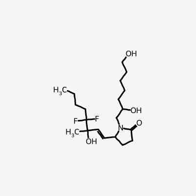 CCCCC(F)(F)C(C)(O)C=CC1CCC(=O)N1CC(O)CCCCCO